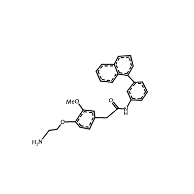 COc1cc(CC(=O)Nc2cccc(-c3cccc4ccccc34)c2)ccc1OCCN